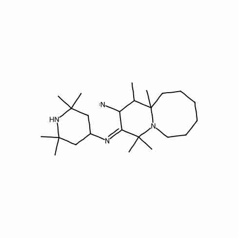 CC1C([N])C(=NC2CC(C)(C)NC(C)(C)C2)C(C)(C)N2CCCCCCC12C